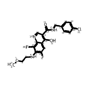 COCCNc1c(F)cc2c(O)c(C(=O)NCc3ccc(Cl)cc3)cnc2c1F